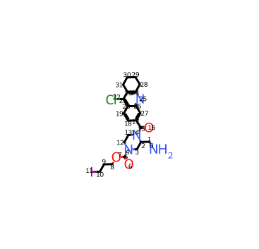 NCC1CN(C(=O)OCCCI)CCN1C(=O)c1ccc2c(Cl)c3c(nc2c1)CCCC3